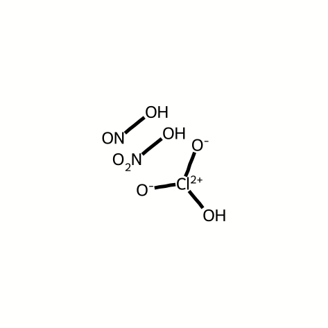 O=NO.O=[N+]([O-])O.[O-][Cl+2]([O-])O